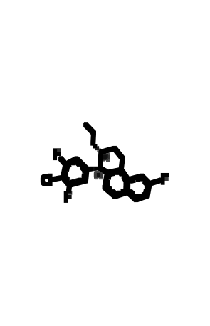 CCC[C@@H]1CCc2c(ccc3ccc(F)cc23)[C@H]1c1cc(F)c(Cl)c(F)c1